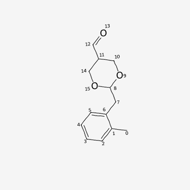 Cc1ccccc1CC1OCC(C=O)CO1